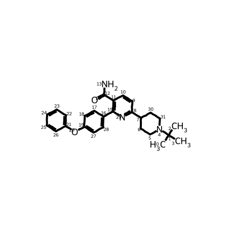 CC(C)(C)N1CCC(c2ccc(C(N)=O)c(-c3ccc(Oc4ccccc4)cc3)n2)CC1